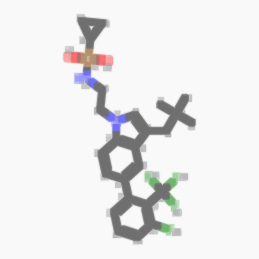 CC(C)(C)Cc1cn(CCNS(=O)(=O)C2CC2)c2ccc(-c3cccc(F)c3C(F)(F)F)cc12